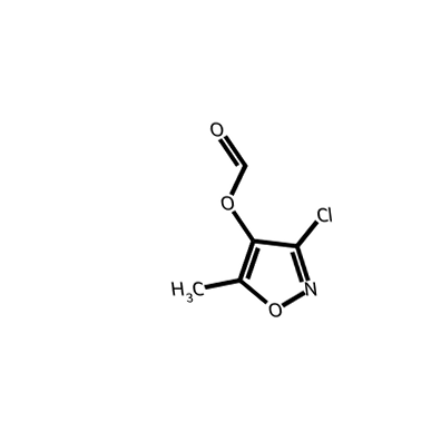 Cc1onc(Cl)c1OC=O